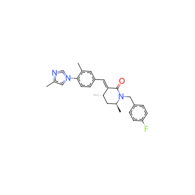 Cc1cn(-c2ccc(/C=C3/C(=O)N(Cc4ccc(F)cc4)[C@@H](C)C[C@@H]3C)cc2C)cn1